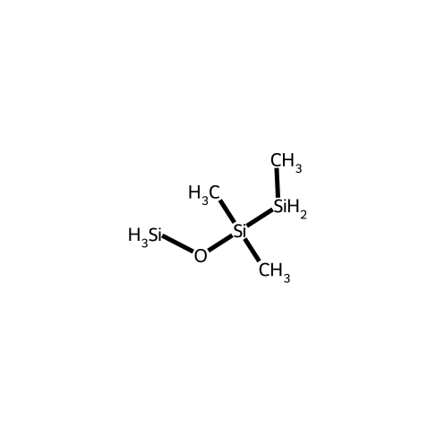 C[SiH2][Si](C)(C)O[SiH3]